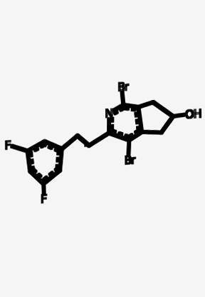 OC1Cc2c(Br)nc([CH]Cc3cc(F)cc(F)c3)c(Br)c2C1